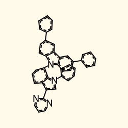 c1ccc(-c2ccc3c(c2)c2cc(-c4ccccc4)ccc2n3-c2cccc3c(-c4ncccn4)cn(-c4ccccc4)c23)cc1